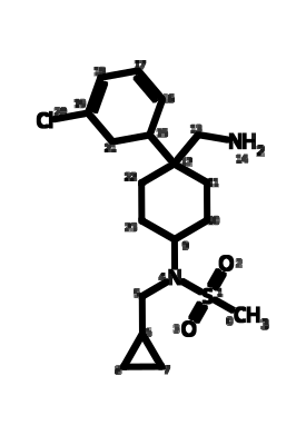 CS(=O)(=O)N(CC1CC1)C1CCC(CN)(C2C=CC=C(Cl)C2)CC1